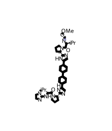 COO/C=N/[C@H](C(=O)N1CCC[C@H]1c1ncc(-c2ccc(-c3ccc(-c4cnc([C@@H]5CCCN5C(=O)[C@H](NC5=NCCN5C)C(C)C)[nH]4)cc3)cc2)[nH]1)C(C)C